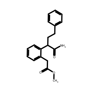 COC(=O)Cc1ccccc1C(CCc1ccccc1)C(N)=O